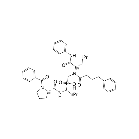 CCCC(NC(=O)[C@@H]1CCCN1C(=O)c1ccccc1)P(=O)(O)CN(C(=O)CCCc1ccccc1)[C@@H](CC(C)C)C(=O)Nc1ccccc1